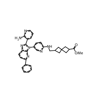 COC(=O)C1CC2(CC(CNc3ccc(-n4c(-c5cccnc5N)nc5ccc(-c6ccccc6)nc54)cn3)C2)C1